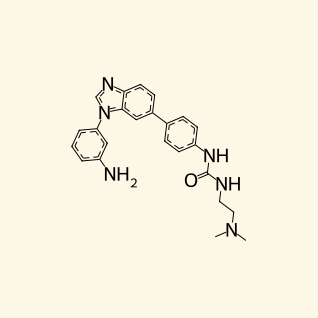 CN(C)CCNC(=O)Nc1ccc(-c2ccc3ncn(-c4cccc(N)c4)c3c2)cc1